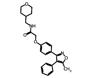 Cc1onc(-c2ccc(OCC(=O)NCC3CCOCC3)cc2)c1-c1ccccc1